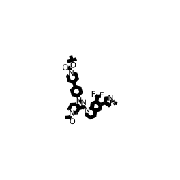 CC(=O)N1CCc2c(c(N3CCCc4cc(-c5cnn(C)c5)c(C(F)F)cc43)nn2C2CCC(C3CCN(C(=O)OC(C)(C)C)CC3)CC2)C1